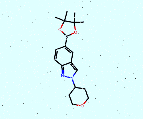 CC1(C)OB(c2ccc3nn(C4CCOCC4)cc3c2)OC1(C)C